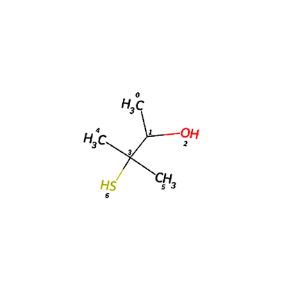 CC(O)C(C)(C)S